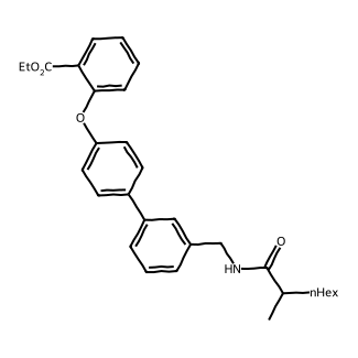 CCCCCCC(C)C(=O)NCc1cccc(-c2ccc(Oc3ccccc3C(=O)OCC)cc2)c1